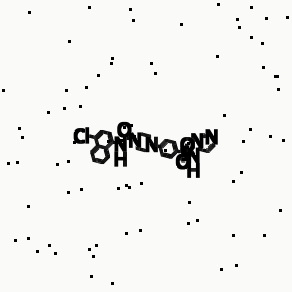 O=C(Nc1ccc(Cl)c2ccccc12)N1CCN(c2ccc(S(=O)(=O)Nc3ccncn3)cc2)CC1